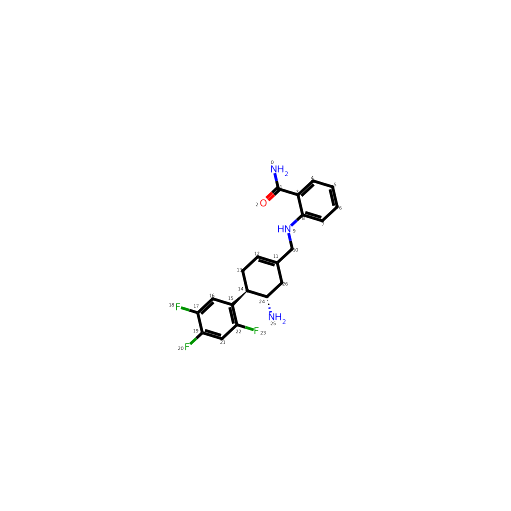 NC(=O)c1ccccc1NCC1=CC[C@H](c2cc(F)c(F)cc2F)[C@@H](N)C1